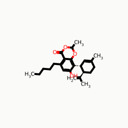 C=C(C)[C@@H]1CCC(C)=C[C@H]1c1c(O)cc(CCCCC)c2c1OC(C)OC2=O